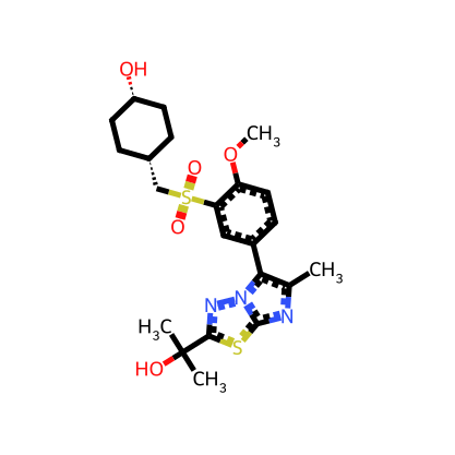 COc1ccc(-c2c(C)nc3sc(C(C)(C)O)nn23)cc1S(=O)(=O)C[C@H]1CC[C@@H](O)CC1